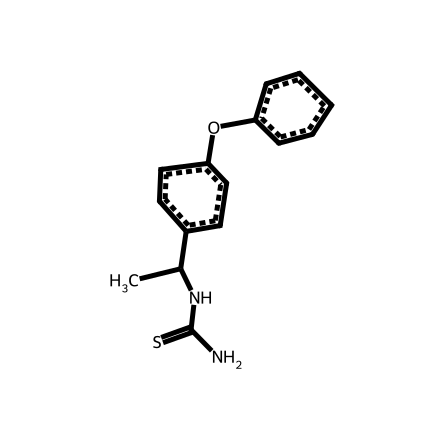 CC(NC(N)=S)c1ccc(Oc2ccccc2)cc1